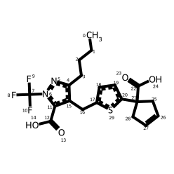 CCCCc1nn(C(F)(F)F)c(C(=O)O)c1Cc1ccc(C2(C(=O)O)CC=CC2)s1